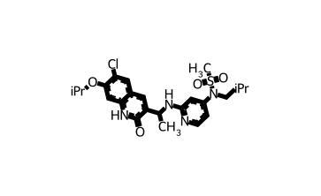 CC(C)CN(c1ccnc(NC(C)c2cc3cc(Cl)c(OC(C)C)cc3[nH]c2=O)c1)S(C)(=O)=O